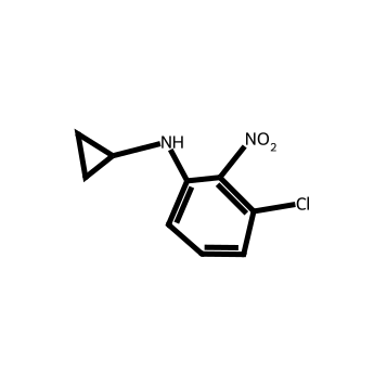 O=[N+]([O-])c1c(Cl)cccc1NC1CC1